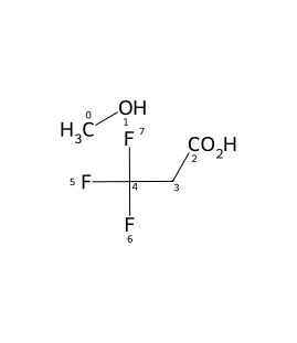 CO.O=C(O)CC(F)(F)F